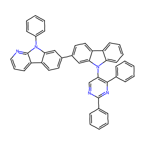 c1ccc(-c2ncc(-n3c4ccccc4c4ccc(-c5ccc6c7cccnc7n(-c7ccccc7)c6c5)cc43)c(-c3ccccc3)n2)cc1